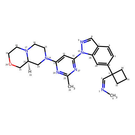 C/N=C\C1(c2ccc3cnn(-c4cc(N5CCN6CCOC[C@@H]6C5)nc(C)n4)c3c2)CCC1